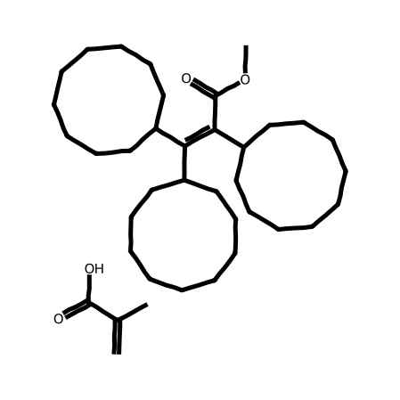 C=C(C)C(=O)O.COC(=O)C(=C(C1CCCCCCCCC1)C1CCCCCCCCC1)C1CCCCCCCCC1